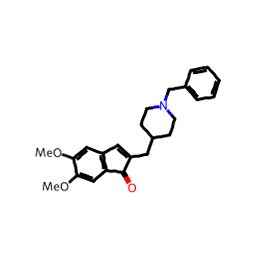 COc1cc2c(cc1OC)C(=O)C(CC1CCN(Cc3ccccc3)CC1)=C2